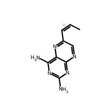 C/C=C\c1cnc2nc(N)nc(N)c2n1